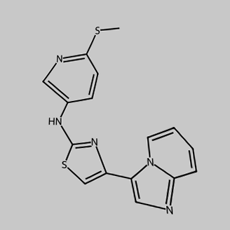 CSc1ccc(Nc2nc(-c3cnc4ccccn34)cs2)cn1